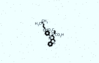 CN(C)CCCOc1ccc(N2N=C3c4ccccc4SCC3CC2=O)cc1.O=C(O)C=CC(=O)O